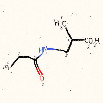 CC(C)CC(=O)NCC(C)C(=O)O